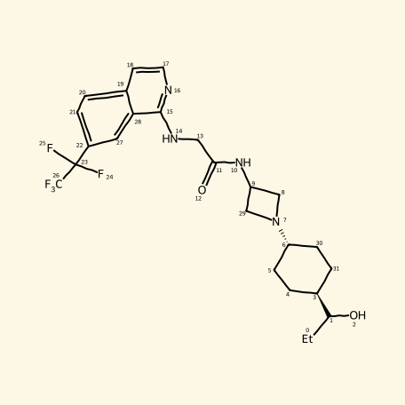 CCC(O)[C@H]1CC[C@H](N2CC(NC(=O)CNc3nccc4ccc(C(F)(F)C(F)(F)F)cc34)C2)CC1